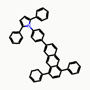 C1=CCCC(c2ccc(-c3ccccc3)c3cc4ccc(-c5ccc(-n6c(-c7ccccc7)ccc6-c6ccccc6)cc5)cc4cc23)=C1